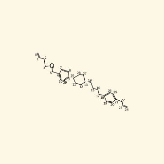 C=CCCOCc1ccc([C@H]2CC[C@H](CCCCc3ccc(CC=C)cc3)CC2)cc1